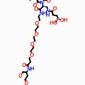 C/C=C\C(=O)N(C=O)[C@@H](CNC(=O)CCP(O)O)C(=O)NCCOCCOCCOCCOCCC(=O)NC(C=O)CC=O